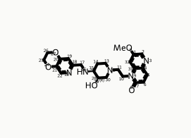 COc1cnc2ccc(=O)n(CCN3CC[C@H](NCc4cc5c(cn4)OCCO5)[C@H](O)C3)c2c1